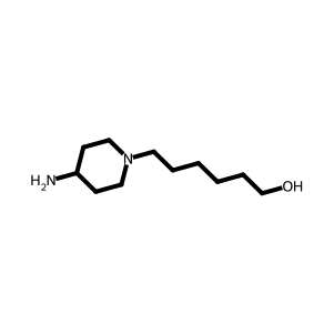 NC1CCN(CCCCCCO)CC1